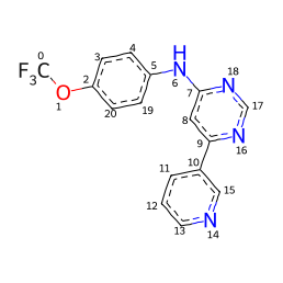 FC(F)(F)Oc1ccc(Nc2cc(-c3cccnc3)ncn2)cc1